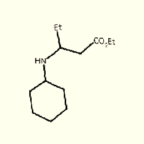 CCOC(=O)CC(CC)NC1CCCCC1